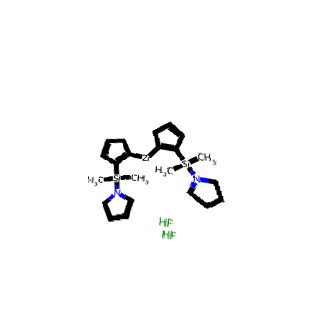 C[Si](C)(C1=[C]([Zr][C]2=C([Si](C)(C)N3CCCC3)C=CC2)CC=C1)N1CCCC1.F.F